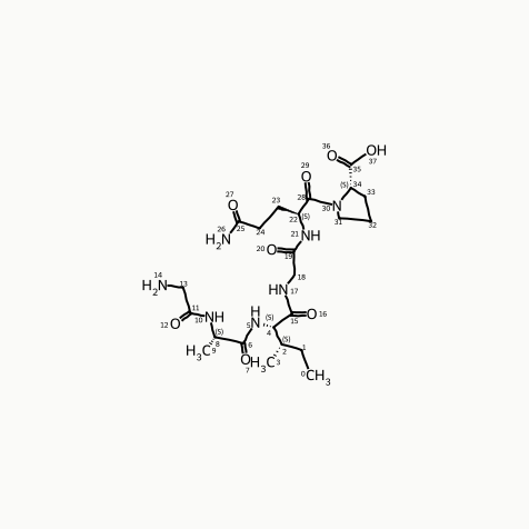 CC[C@H](C)[C@H](NC(=O)[C@H](C)NC(=O)CN)C(=O)NCC(=O)N[C@@H](CCC(N)=O)C(=O)N1CCC[C@H]1C(=O)O